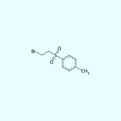 Cc1ccc(S(=O)(=O)CCBr)cc1